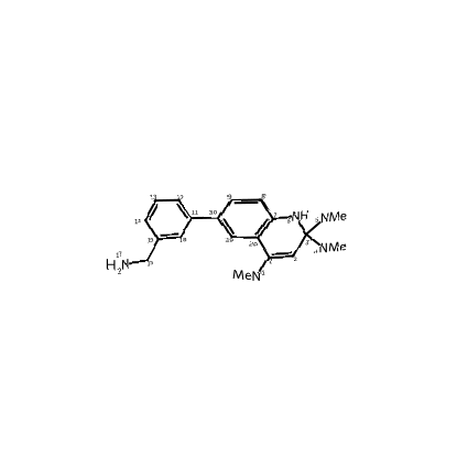 CNC1=CC(NC)(NC)Nc2ccc(-c3cccc(CN)c3)cc21